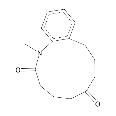 CN1C(=O)CCCC(=O)CCCc2ccccc21